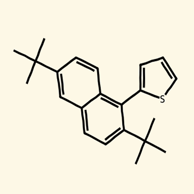 CC(C)(C)c1ccc2c(-c3cccs3)c(C(C)(C)C)ccc2c1